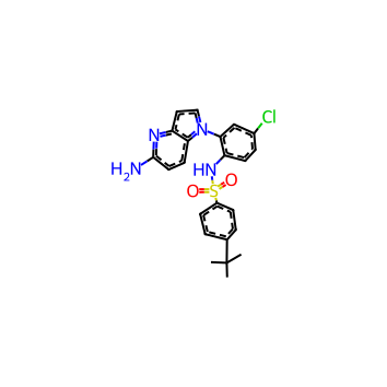 CC(C)(C)c1ccc(S(=O)(=O)Nc2ccc(Cl)cc2-n2ccc3nc(N)ccc32)cc1